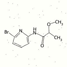 COC(C)C(=O)Nc1cccc(Br)n1